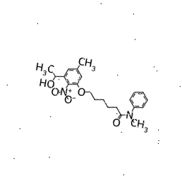 Cc1cc(OCCCCCC(=O)N(C)c2ccccc2)c([N+](=O)[O-])c(C(C)O)c1